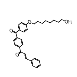 O=C(/C=C/c1ccccc1)c1ccc(C(=O)c2ccc(OCCCCCCCCO)cc2)cc1